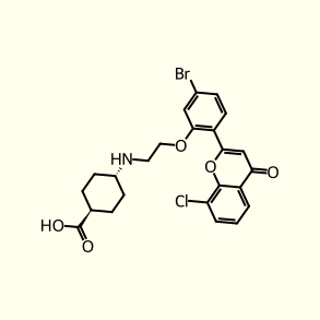 O=c1cc(-c2ccc(Br)cc2OCCN[C@H]2CC[C@H](C(=O)O)CC2)oc2c(Cl)cccc12